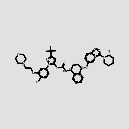 C[C@H]1CCCCN1c1nnc2ccc(O[C@@H]3CC[C@H](NC(=O)Nc4cc(C(C)(C)C)nn4-c4ccc(Cl)c(OCCN5CCOCC5)c4)c4ccccc43)cn12